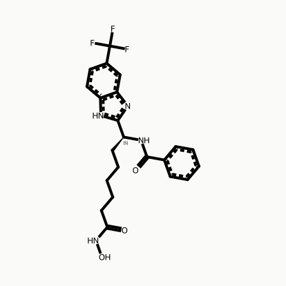 O=C(CCCCC[C@H](NC(=O)c1ccccc1)c1nc2cc(C(F)(F)F)ccc2[nH]1)NO